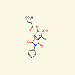 O=C(O)CCC(=O)OC1C2C[C@H](C1O)C1C(=O)N(c3ccccc3)C(=O)C21